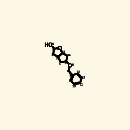 OC1CC2CC(OCc3ccccc3)CC2O1